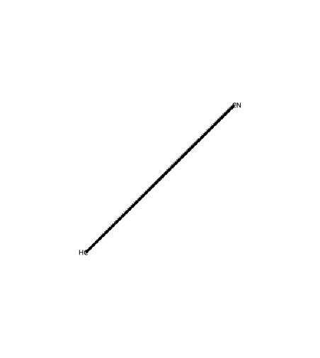 C#CC#CC#CC#CC#CC#CC#CC#CC#CC#CC#CC#CC#CC#CC#CC#CC#CC#CC#CC#CC#CC#CC#CC#CC#CC#CC#CC#CC#CC#CC#CC#CC#CC#CC#CC#CC#CC#CC#CC#CC#CC#CC#CC#CC#CC#N